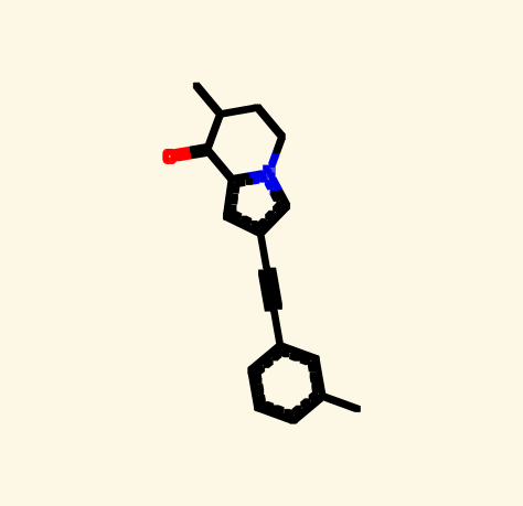 Cc1cccc(C#Cc2cc3n(c2)CCC(C)C3=O)c1